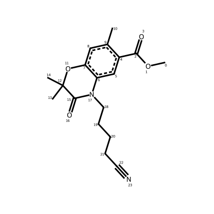 COC(=O)c1cc2c(cc1C)OC(C)(C)C(=O)N2CCCCC#N